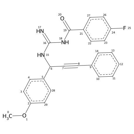 COc1ccc(C(C#Cc2ccccc2)NC(=N)NC(=O)c2ccc(F)cc2)cc1